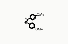 COc1ccc(N[C@@H](C)c2ccc(OC)cc2)cc1